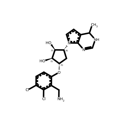 CC1NC=Nc2c1ccn2[C@@H]1C[C@H](Oc2ccc(Cl)c(Cl)c2CN)[C@@H](O)[C@H]1O